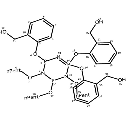 CCCCCON1P(Oc2ccccc2CO)N=P(Oc2ccccc2CO)(Oc2ccccc2CO)N(OCCCCC)P1OCCCCC